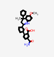 COc1ccc2c(c1)C(C)(c1ccccc1)CC(c1cccc(-c3ccc(C(N)=O)cc3C(=O)O)c1)N2